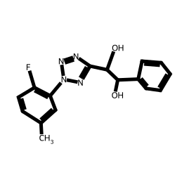 Cc1ccc(F)c(-n2nnc(C(O)C(O)c3ccccc3)n2)c1